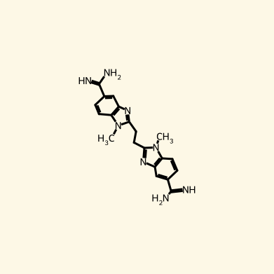 Cn1c(CCc2nc3cc(C(=N)N)ccc3n2C)nc2cc(C(=N)N)ccc21